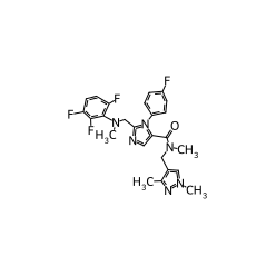 Cc1nn(C)cc1CN(C)C(=O)c1cnc(CN(C)c2c(F)ccc(F)c2F)n1-c1ccc(F)cc1